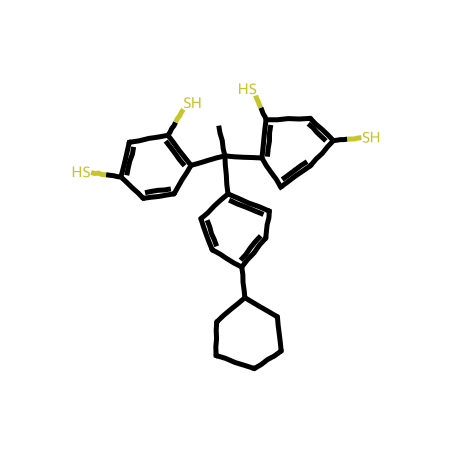 CC(c1ccc(C2CCCCC2)cc1)(c1ccc(S)cc1S)c1ccc(S)cc1S